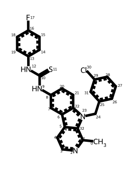 Cc1nccc2c3cc(NC(=S)Nc4ccc(F)cc4)ccc3n(Cc3cccc(Cl)c3)c12